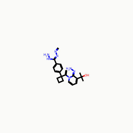 C=N/N=C(\NN)c1ccc(C2(C(=C)n3cccc(C(C)(C)O)/c3=N/N)CCC2)cc1